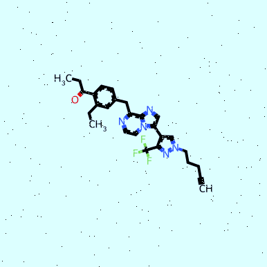 C#CCCCn1cc(-c2cnc3c(Cc4ccc(C(=O)CC)c(CC)c4)nccn23)c(C(F)(F)F)n1